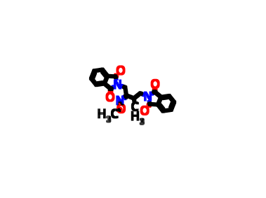 CON=C(CN1C(=O)c2ccccc2C1=O)C(C)CN1C(=O)c2ccccc2C1=O